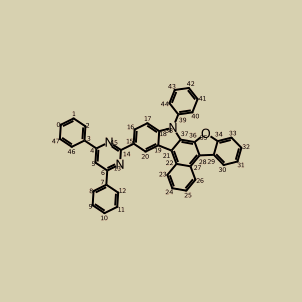 c1ccc(-c2cc(-c3ccccc3)nc(-c3ccc4c(c3)c3c5ccccc5c5c6ccccc6oc5c3n4-c3ccccc3)n2)cc1